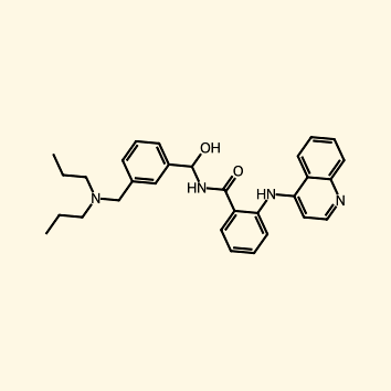 CCCN(CCC)Cc1cccc(C(O)NC(=O)c2ccccc2Nc2ccnc3ccccc23)c1